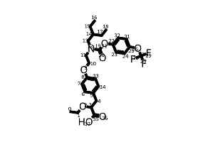 CCOC(Cc1ccc(OCCN(CC(CC)CC)C(=O)Oc2ccc(OC(F)(F)F)cc2)cc1)C(=O)O